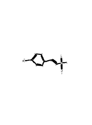 CS(=O)(=O)C=Cc1ccc(C#N)cc1